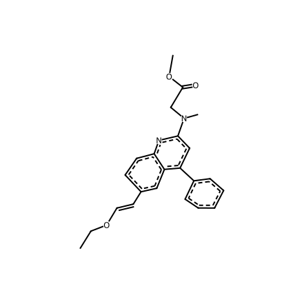 CCO/C=C/c1ccc2nc(N(C)CC(=O)OC)cc(-c3ccccc3)c2c1